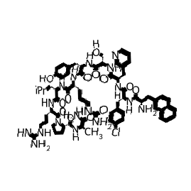 CC(C)C[C@H](NC(=O)[C@@H](CCCNC(N)=O)NC(=O)[C@H](Cc1ccc(O)cc1)NC(=O)[C@H](CO)NC(=O)[C@@H](Cc1cccnc1)NC(=O)[C@@H](Cc1ccc(Cl)cc1)NC(=O)[C@H](N)Cc1ccc2ccccc2c1)C(=O)N[C@@H](CCCNC(=N)N)C(=O)N1CCC[C@H]1C(=O)N[C@H](C)C(N)=O